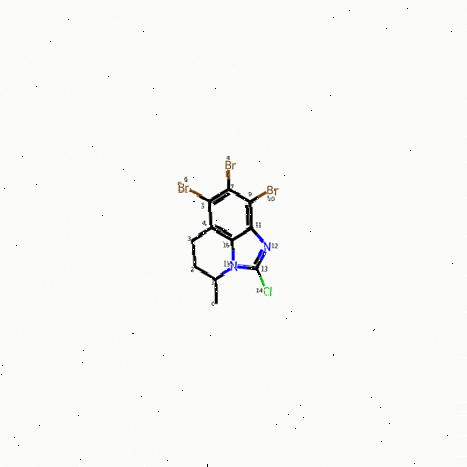 CC1CCc2c(Br)c(Br)c(Br)c3nc(Cl)n1c23